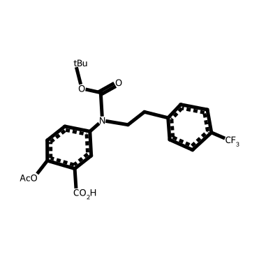 CC(=O)Oc1ccc(N(CCc2ccc(C(F)(F)F)cc2)C(=O)OC(C)(C)C)cc1C(=O)O